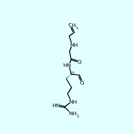 C=CCNCC(=O)N[C@H](C=O)CCCNC(=N)N